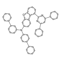 c1ccc(-c2ccc(N(c3cccc(-c4ccccc4)c3)c3ccc4c(c3)oc3cccc(-c5nc(-c6ccccc6)cc(-c6ccccc6)n5)c34)cc2)cc1